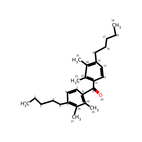 CCCCCc1ccc(C(=O)c2ccc(CCCCC)c(C)c2C)c(C)c1C